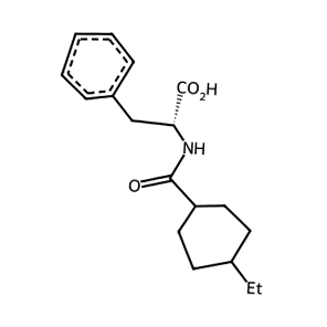 CCC1CCC(C(=O)N[C@H](Cc2ccccc2)C(=O)O)CC1